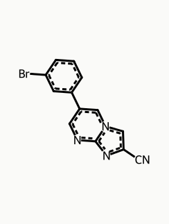 N#Cc1cn2cc(-c3cccc(Br)c3)cnc2n1